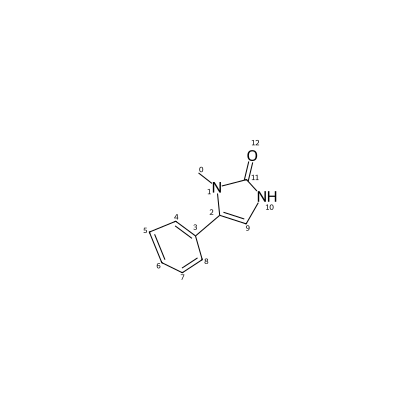 Cn1c(-c2ccccc2)c[nH]c1=O